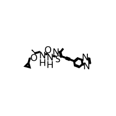 Cc1nc(NC(=O)NC[C@H](C)OCC2CC2)sc1C#Cc1ccc2nccnc2c1